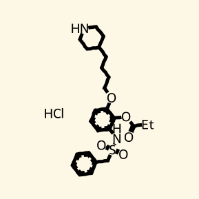 CCC(=O)Oc1c(NS(=O)(=O)Cc2ccccc2)cccc1OCCCCC1CCNCC1.Cl